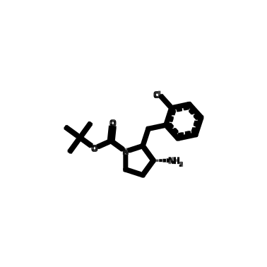 CC(C)(C)OC(=O)N1CC[C@@H](N)C1Cc1ccccc1Cl